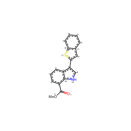 COC(=O)c1cccc2c(-c3cc4ccccc4s3)c[nH]c12